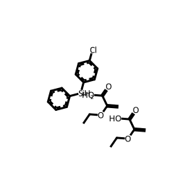 C=C(OCC)C(=O)O.C=C(OCC)C(=O)O.Clc1ccc([SiH2]c2ccccc2)cc1